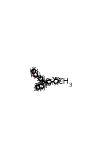 CC1=CCC(C2C=CC(n3c4ccc(-c5ccc6ccccc6c5)cc4c4c5ccccc5ccc43)=CC2)C=C1